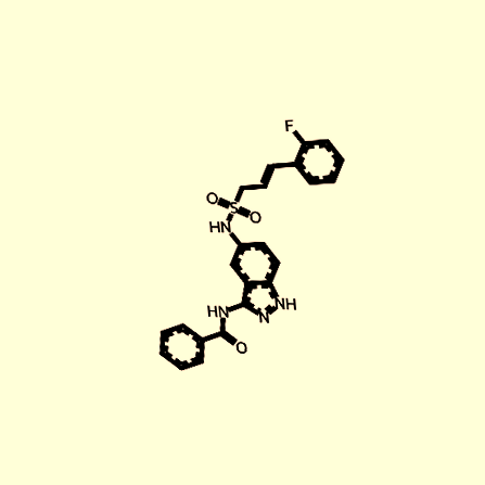 O=C(Nc1n[nH]c2ccc(NS(=O)(=O)CC=Cc3ccccc3F)cc12)c1ccccc1